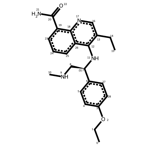 CCOc1ccc([C@@H](CNC)Nc2c(CC)cnc3c(C(N)=O)cccc23)cc1